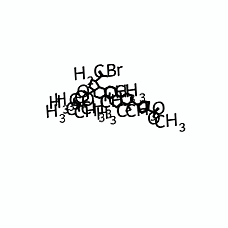 C=C(CBr)C1CCC2(C(=O)O[Si](C)(C)C(C)(C)C)CCC3(C)C(CCC4C5(C)CC=C(c6ccc(C(=O)OC)cc6)C(C)(C)C5CCC43C)C12